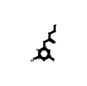 C=C(CCC)Cc1cc(C)cc(F)c1